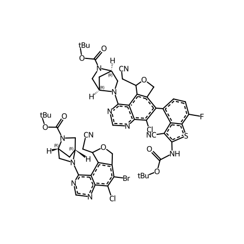 CC(C)(C)OC(=O)N1C[C@H]2C[C@@H]1CN2c1ncnc2c(Cl)c(Br)c3c(c12)C(CC#N)OC3.CC(C)(C)OC(=O)Nc1sc2c(F)ccc(-c3c4c(c5c(N6C[C@H]7C[C@@H]6CN7C(=O)OC(C)(C)C)ncnc5c3Cl)C(CC#N)OC4)c2c1C#N